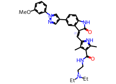 CCN(CC)CCNC(=O)c1c(C)[nH]c(/C=C2\C(=O)Nc3ccc(-c4cnn(-c5cccc(OC)c5)c4)cc32)c1C